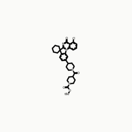 CC(C)(C)OC(=O)N1CCC(C(=O)N2CCC(c3ccc4c(c3)-n3c(nc(=O)c5c(Cl)cccc53)C43CCCCC3)CC2)CC1